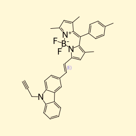 C#CCn1c2ccccc2c2cc(/C=C/c3cc(C)c4n3[B-](F)(F)[N+]3=C(C)C=C(C)C3=C4c3ccc(C)cc3)ccc21